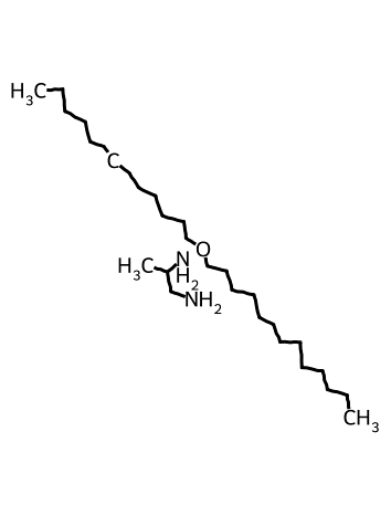 CC(N)CN.CCCCCCCCCCCCCOCCCCCCCCCCCCC